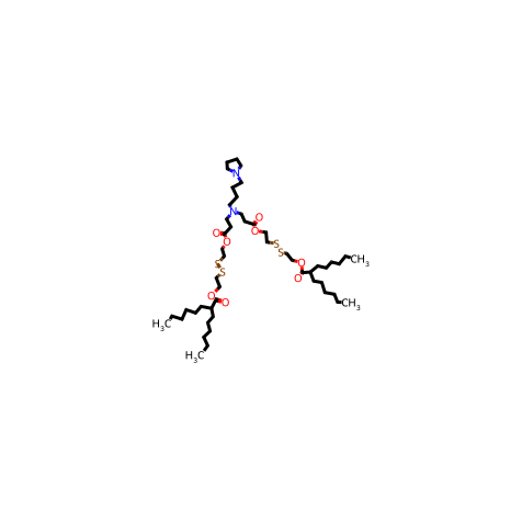 CCCCCCC(CCCCCC)C(=O)OCCSSCCOC(=O)CCN(CCCCN1CCCC1)CCC(=O)OCCSSCCOC(=O)C(CCCCCC)CCCCCC